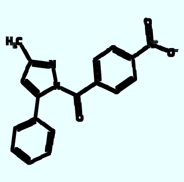 Cc1cc(-c2ccccc2)n(C(=O)c2ccc([N+](=O)[O-])cc2)n1